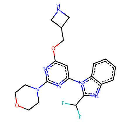 FC(F)c1nc2ccccc2n1-c1cc(OCC2CNC2)nc(N2CCOCC2)n1